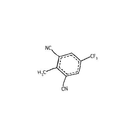 Cc1c(C#N)cc(C(F)(F)F)cc1C#N